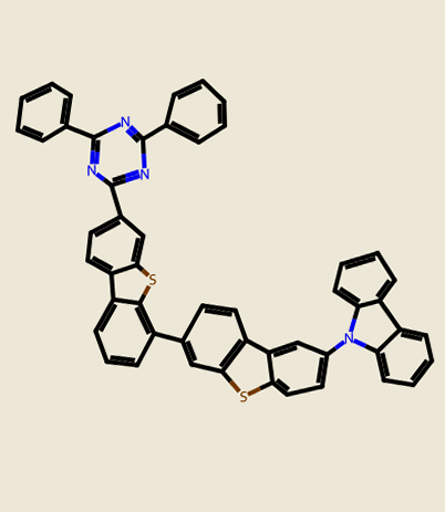 c1ccc(-c2nc(-c3ccccc3)nc(-c3ccc4c(c3)sc3c(-c5ccc6c(c5)sc5ccc(-n7c8ccccc8c8ccccc87)cc56)cccc34)n2)cc1